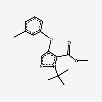 COC(=O)c1c(Oc2cccc(C)c2)cnn1C(C)(C)C